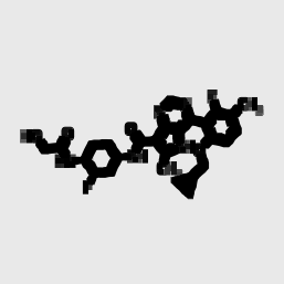 Cc1ccc(OCC2CC2)c(-c2ncnc3c(C(=O)N[C@@H]4CC[C@H](NC(=O)CO)[C@H](F)C4)c(C)[nH]c23)c1F